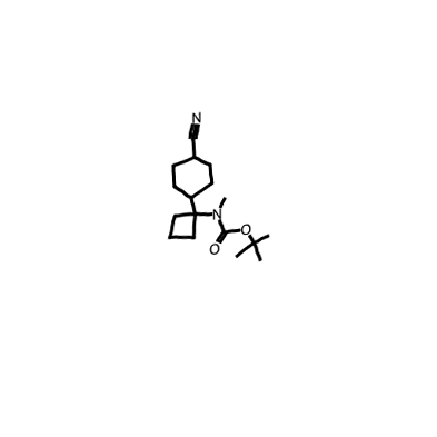 CN(C(=O)OC(C)(C)C)C1(C2CCC(C#N)CC2)CCC1